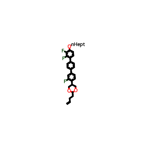 C=CCCC1OCC(c2ccc(-c3ccc(-c4ccc(OCCCCCCC)c(F)c4F)cc3)cc2F)CO1